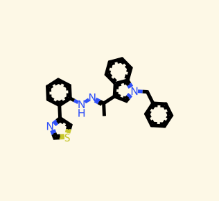 CC(=NNc1ccccc1-c1cscn1)c1cn(Cc2ccccc2)c2ccccc12